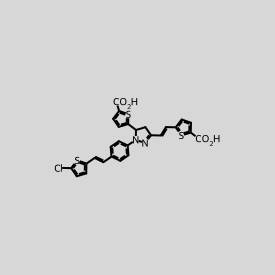 O=C(O)c1ccc(/C=C/C2=NN(c3ccc(/C=C/c4ccc(Cl)s4)cc3)C(c3ccc(C(=O)O)s3)C2)s1